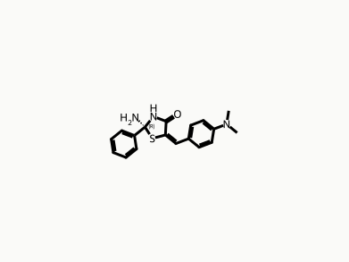 CN(C)c1ccc(C=C2S[C@@](N)(c3ccccc3)NC2=O)cc1